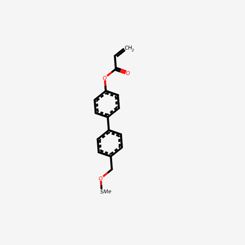 C=CC(=O)Oc1ccc(-c2ccc(COSC)cc2)cc1